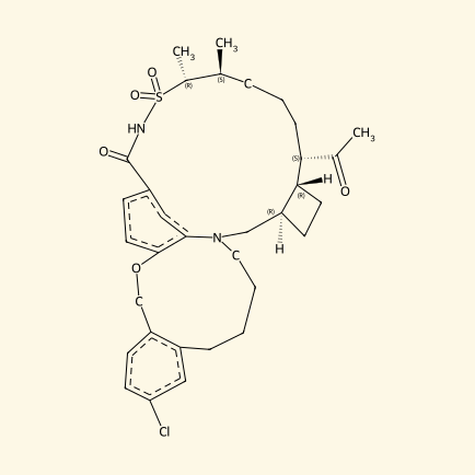 CC(=O)[C@H]1CCC[C@H](C)[C@@H](C)S(=O)(=O)NC(=O)c2ccc3c(c2)N(CCCCc2cc(Cl)ccc2CO3)C[C@@H]2CC[C@H]21